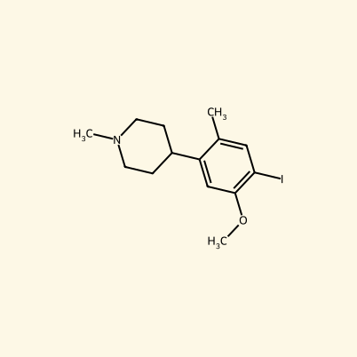 COc1cc(C2CCN(C)CC2)c(C)cc1I